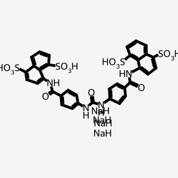 O=C(Nc1ccc(C(=O)Nc2ccc(S(=O)(=O)O)c3cccc(S(=O)(=O)O)c23)cc1)Nc1ccc(C(=O)Nc2ccc(S(=O)(=O)O)c3cccc(S(=O)(=O)O)c23)cc1.[NaH].[NaH].[NaH].[NaH]